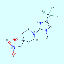 Cn1cc(C(F)(F)F)nc1N1CCC(O)(C[N+](=O)[O-])CC1